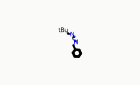 CC(C)(C)CN=C=NCc1ccccc1